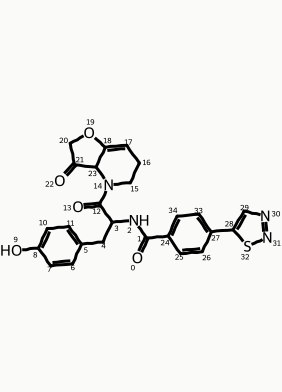 O=C(NC(Cc1ccc(O)cc1)C(=O)N1CCC=C2OCC(=O)C21)c1ccc(-c2cnns2)cc1